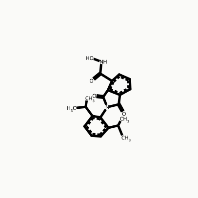 CC(C)c1cccc(C(C)C)c1N1C(=O)c2cccc(C(=O)NO)c2C1=O